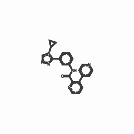 O=C(Nc1cccc(-c2nncn2C2CC2)c1)c1ncccc1-c1ccncc1